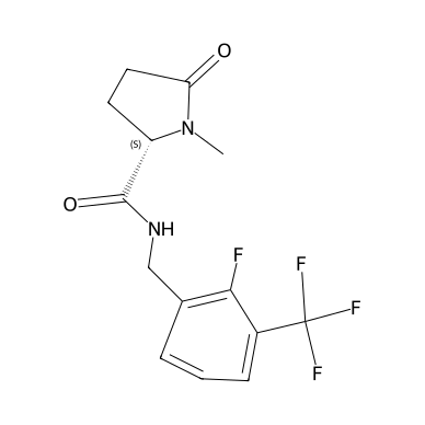 CN1C(=O)CC[C@H]1C(=O)NCc1cccc(C(F)(F)F)c1F